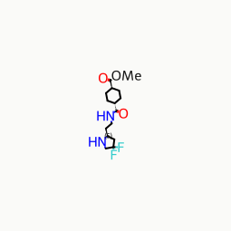 COC(=O)[C@H]1CC[C@H](C(=O)NCC[C@H]2CC(F)(F)CN2)CC1